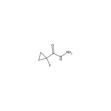 NNC(=O)C1(F)CC1